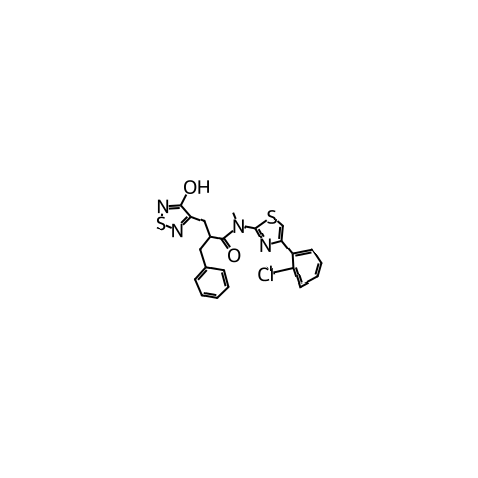 CN(C(=O)C(Cc1ccccc1)Cc1nsnc1O)c1nc(-c2ccccc2Cl)cs1